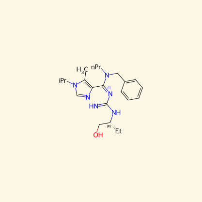 CCCN(Cc1ccccc1)/C(=N/C(=N)N[C@H](CC)CO)c1ncn(C(C)C)c1C